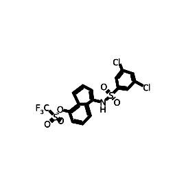 O=S(=O)(Nc1cccc2c(OS(=O)(=O)C(F)(F)F)cccc12)c1cc(Cl)cc(Cl)c1